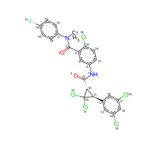 CN(C(=O)c1cc(NC(=O)[C@@H]2[C@@H](c3cc(Cl)cc(Cl)c3)C2(Cl)Cl)ccc1Cl)c1ccc(F)cc1